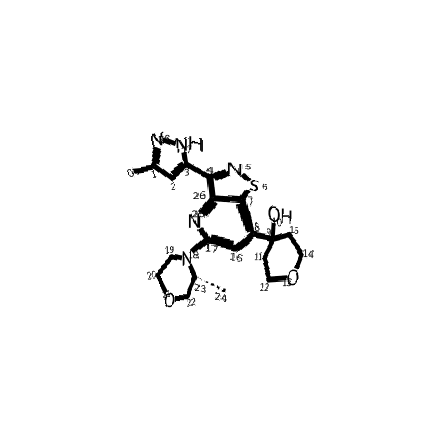 Cc1cc(-c2nsc3c(C4(O)CCOCC4)cc(N4CCOC[C@H]4C)nc23)[nH]n1